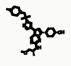 COC[C@H](C)Nc1ncc2c(-c3cnn(C(C)(C)CN4CCN(C)CC4)c3)cc([C@H]3CC[C@H](O)CC3)n2n1